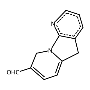 O=CC1=CC=C2Cc3cccnc3N2C1